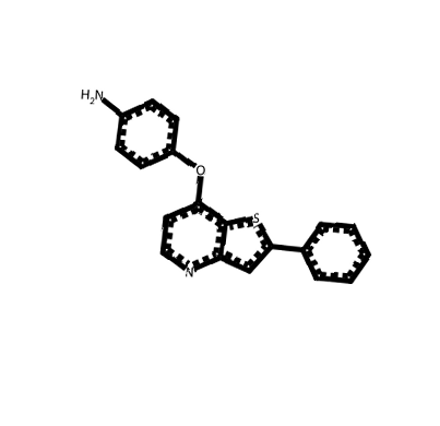 Nc1ccc(Oc2ccnc3cc(-c4ccccc4)sc23)cc1